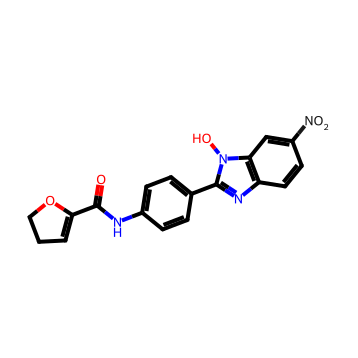 O=C(Nc1ccc(-c2nc3ccc([N+](=O)[O-])cc3n2O)cc1)C1=CCCO1